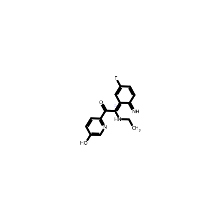 CCN/C(C(=O)c1ccc(O)cn1)=C1/C=C(F)C=CC1=N